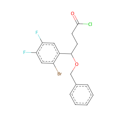 O=C(Cl)CCC(OCc1ccccc1)c1cc(F)c(F)cc1Br